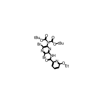 CCOc1cccc(C(=O)Nc2nc(N(C(=O)OC(C)(C)C)C(=O)OC(C)(C)C)c(Br)nc2Br)n1